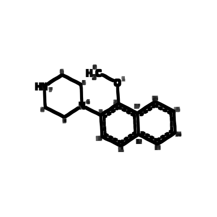 COc1c(N2CCNCC2)ccc2ccccc12